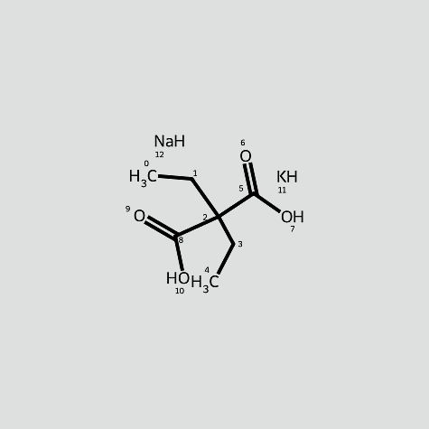 CCC(CC)(C(=O)O)C(=O)O.[KH].[NaH]